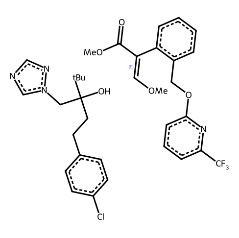 CC(C)(C)C(O)(CCc1ccc(Cl)cc1)Cn1cncn1.CO/C=C(/C(=O)OC)c1ccccc1COc1cccc(C(F)(F)F)n1